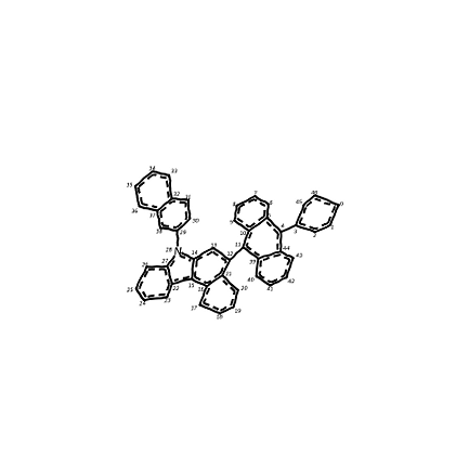 c1ccc(-c2c3ccccc3c(-c3cc4c(c5ccccc35)c3ccccc3n4-c3ccc4ccccc4c3)c3ccccc23)cc1